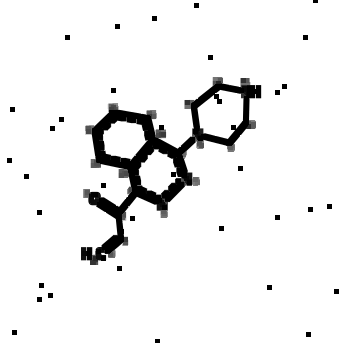 C=CC(=O)c1nnc(N2CCNCC2)c2ccccc12